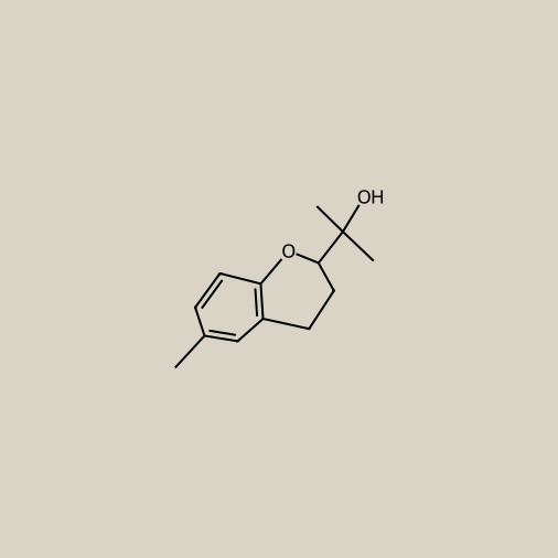 Cc1ccc2c(c1)CCC(C(C)(C)O)O2